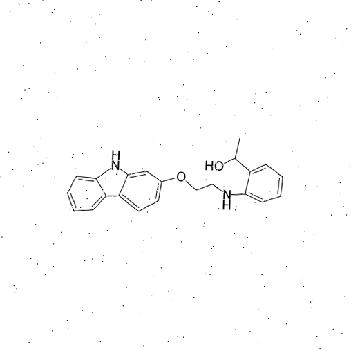 CC(O)c1ccccc1NCCOc1ccc2c(c1)[nH]c1ccccc12